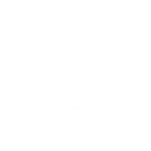 CCCCC(NS(=O)(=O)c1ccc(F)cc1)c1ccc(CCCC(=O)OC)cc1